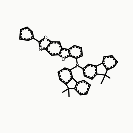 CC1(C)c2ccccc2-c2cc(N(c3cccc4c3-c3ccccc3C4(C)C)c3cccc4c3oc3cc5nc(-c6ccccc6)oc5cc34)ccc21